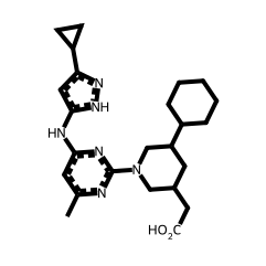 Cc1cc(Nc2cc(C3CC3)n[nH]2)nc(N2CC(CC(=O)O)CC(C3CCCCC3)C2)n1